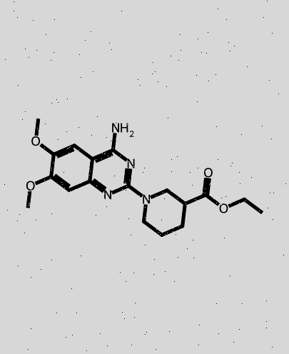 CCOC(=O)C1CCCN(c2nc(N)c3cc(OC)c(OC)cc3n2)C1